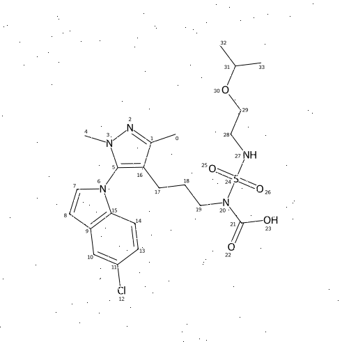 Cc1nn(C)c(-n2ccc3cc(Cl)ccc32)c1CCCN(C(=O)O)S(=O)(=O)NCCOC(C)C